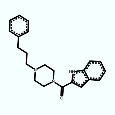 O=C(c1cc2ccccc2[nH]1)N1CCN(CCCc2ccccc2)CC1